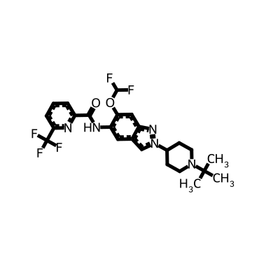 CC(C)(C)N1CCC(n2cc3cc(NC(=O)c4cccc(C(F)(F)F)n4)c(OC(F)F)cc3n2)CC1